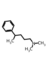 CC(CCCN(C)C)c1ccccc1